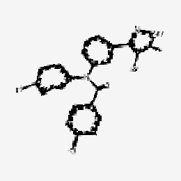 Cc1[nH]nc(-c2cccc(N(C(=O)c3ccc(Cl)cc3)c3ccc(Cl)cc3)c2)c1Br